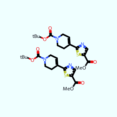 COC(=O)c1cnc(C2=CCN(C(=O)OC(C)(C)C)CC2)s1.COC(=O)c1cnc(C2=CCN(C(=O)OC(C)(C)C)CC2)s1